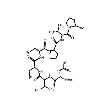 CCCCCC(NC(=O)CCC)C(=O)NC(C(=O)NC(CC(C)C)C(=O)NC(CC(C)C)C(=O)N1CCCC1C(=O)NC(C(=O)N1CCCC1C(C)=O)C(C)O)C(C)O